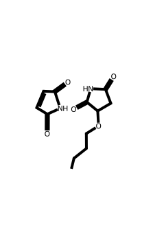 CCCCOC1CC(=O)NC1=O.O=C1C=CC(=O)N1